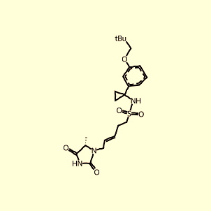 C[C@H]1C(=O)NC(=O)N1C/C=C/CCS(=O)(=O)NC1(c2cccc(OCC(C)(C)C)c2)CC1